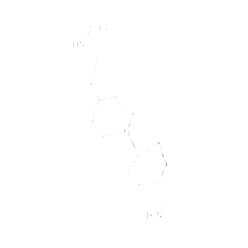 NOC1CCC(N2CCC(CCNC=O)CC2)CC1